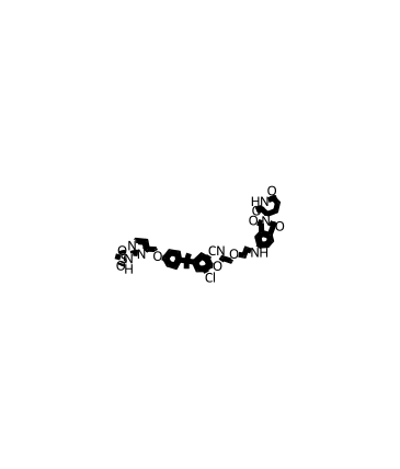 CC(C)(c1ccc(OCc2ccnc(NS(C)(=O)=O)n2)cc1)c1cc(Cl)c(OCCOCCNc2ccc3c(c2)C(=O)N(C2CCC(=O)NC2=O)C3=O)c(C#N)c1